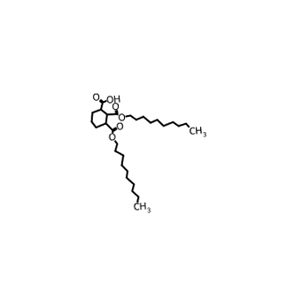 CCCCCCCCCCOC(=O)C1CCCC(C(=O)O)C1C(=O)OCCCCCCCCCC